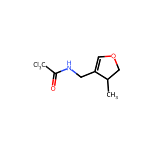 CC1COC=C1CNC(=O)C(Cl)(Cl)Cl